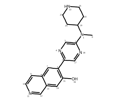 CN(c1cnc(-c2cc3ccncc3cc2O)cn1)C1CCNCC1